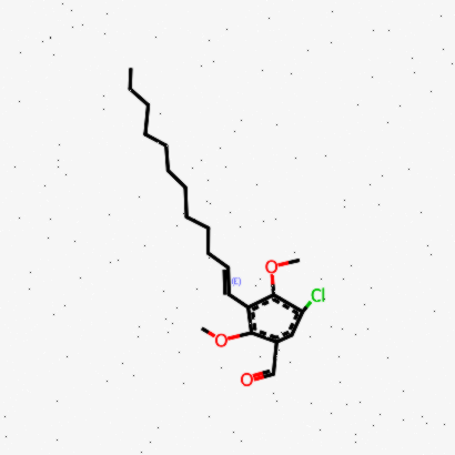 CCCCCCCCCC/C=C/c1c(OC)c(Cl)cc(C=O)c1OC